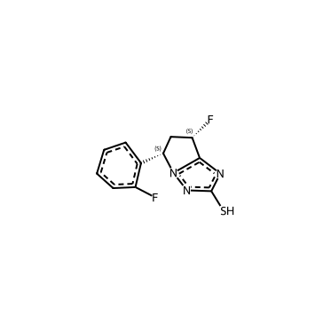 Fc1ccccc1[C@@H]1C[C@H](F)c2nc(S)nn21